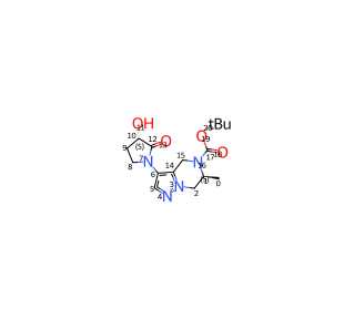 C[C@H]1Cn2ncc(N3CC[C@H](O)C3=O)c2CN1C(=O)OC(C)(C)C